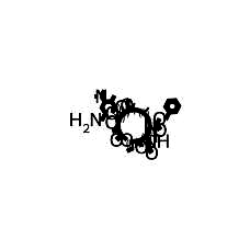 CC[C@H]1OC(=O)C(C)C(=O)[C@H](C)[C@@H](O[C@@H]2OC(CN)CC(N(C)C)C2C)[C@](C)(OC)C[C@@H](C)CN(C(=O)OCc2ccccc2)[C@H](C)[C@H]2NC(=O)O[C@@]21C